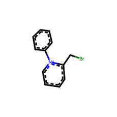 BrCc1cccc[n+]1-c1ccccc1